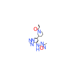 C=CC(=O)N1CCCC(c2cc(Nc3nc(C)no3)c3ncnn3c2)C1